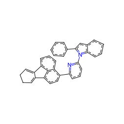 C1=C2C(=CCC1)c1ccc(-c3cccc(-n4c(-c5ccccc5)cc5ccccc54)n3)c3cccc2c13